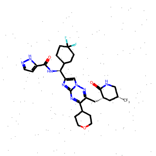 O=C(N[C@H](c1cn2nc(C[C@H]3C[C@@H](C(F)(F)F)CNC3=O)c(C3CCOCC3)nc2n1)C1CCC(F)(F)CC1)c1ccn[nH]1